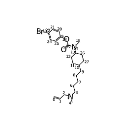 C=CCN(C)CCCCCC1CCC(N(C)C(=O)Oc2ccc(Br)cc2)CC1